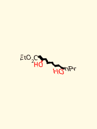 CCCC(O)CCCCCC(O)=CC(=O)OCC